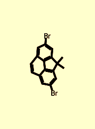 CC1(C)c2cc(Br)cc3ccc4cc(Br)cc1c4c23